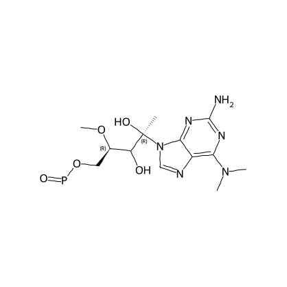 CO[C@H](COP=O)C(O)[C@@](C)(O)n1cnc2c(N(C)C)nc(N)nc21